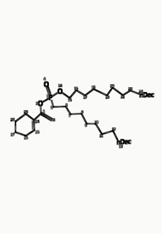 C=C(OP(=O)(CCCCCCCCCCCCCCCCCC)OCCCCCCCCCCCCCCCCCC)C1=CCCCC1